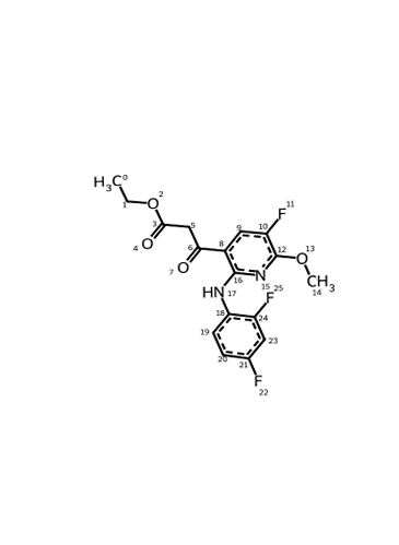 CCOC(=O)CC(=O)c1cc(F)c(OC)nc1Nc1ccc(F)cc1F